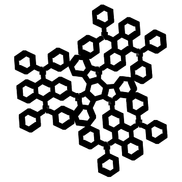 c1ccc(N(c2ccccc2)c2c3ccccc3c(N(c3ccccc3)c3ccccc3)c3cc(-n4c5ccccc5c5c4c4c6ccccc6n(-c6ccc7c(N(c8ccccc8)c8ccccc8)c8ccccc8c(N(c8ccccc8)c8ccccc8)c7c6)c4c4c6ccccc6n(-c6ccc7c(N(c8ccccc8)c8ccccc8)c8ccccc8c(N(c8ccccc8)c8ccccc8)c7c6)c54)ccc23)cc1